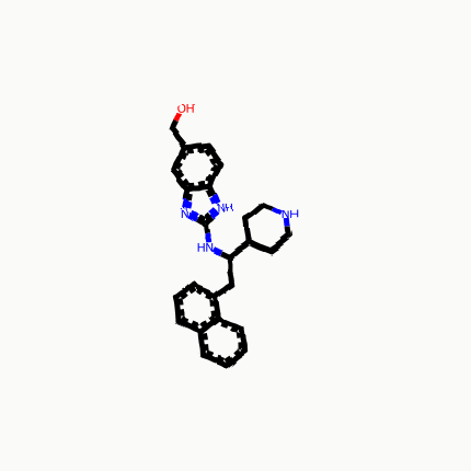 OCc1ccc2[nH]c(NC(Cc3cccc4ccccc34)C3CCNCC3)nc2c1